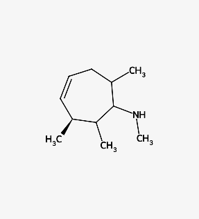 CNC1C(C)CC=C[C@H](C)C1C